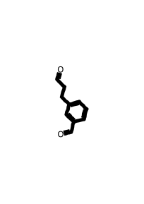 O=CCCc1cccc(C=O)c1